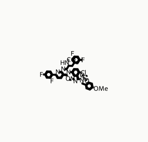 COc1ccc(CN(c2nn(C)c3c(-n4c(C(Cc5cc(F)cc(F)c5)NC(=O)O)nc5nc(-c6ccc(F)cc6F)ccc5c4=O)ccc(Cl)c23)S(C)(=O)=O)cc1